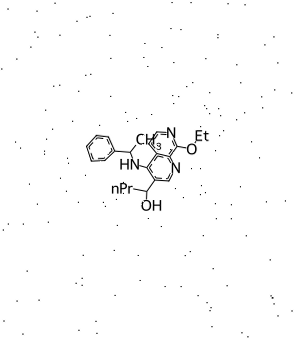 CCCC(O)c1cnc2c(OCC)nccc2c1NC(C)c1ccccc1